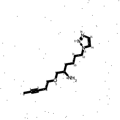 CC#CCCOCC(N)CCCCn1ccnn1